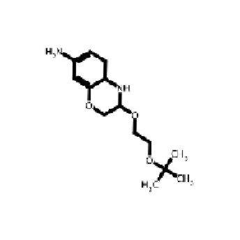 CC(C)(C)OCCOC1COC2=CC(N)=CCC2N1